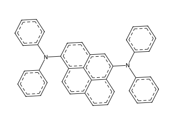 c1ccc(N(c2ccccc2)c2cc3ccc(N(c4ccccc4)c4ccccc4)c4ccc5cccc2c5c34)cc1